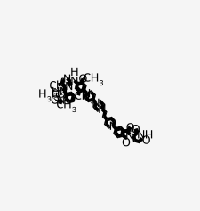 COc1cc(N2CCC(N3CCN(CCC4CCN(c5ccc6c(c5)C(=O)N(C5CCC(=O)NC5=O)C6=O)CC4)CC3)CC2)c(C)cc1Nc1ncc(Cl)c(Nc2ccccc2N(C)S(C)(=O)=O)n1